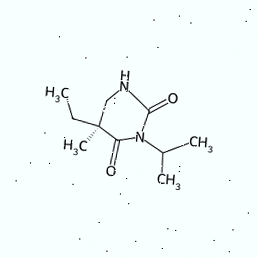 CC[C@@]1(C)CNC(=O)N(C(C)C)C1=O